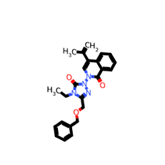 C=C(C)c1cn(-n2nc(COCc3ccccc3)n(CC)c2=O)c(=O)c2ccccc12